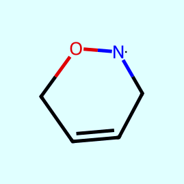 C1=CCO[N]C1